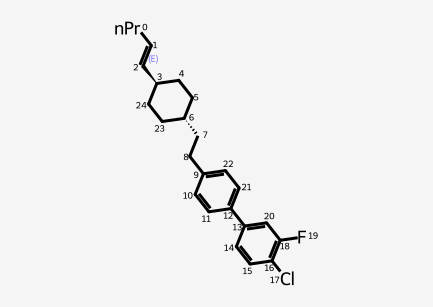 CCC/C=C/[C@H]1CC[C@H](CCc2ccc(-c3ccc(Cl)c(F)c3)cc2)CC1